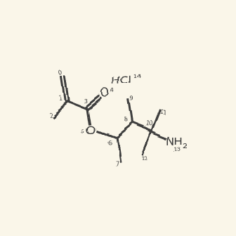 C=C(C)C(=O)OC(C)C(C)C(C)(C)N.Cl